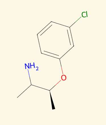 CC(N)[C@H](C)Oc1cccc(Cl)c1